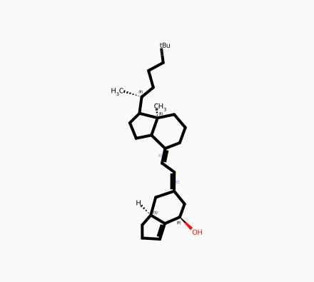 C[C@H](CCCC(C)(C)C)C1CCC2/C(=C/C=C3\C[C@@H]4CCC=C4[C@H](O)C3)CCC[C@@]21C